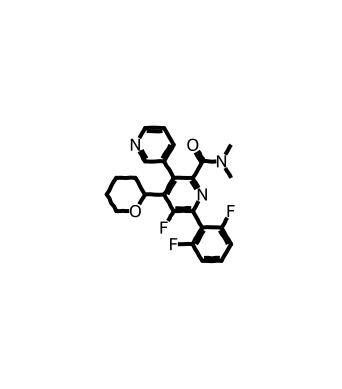 CN(C)C(=O)c1nc(-c2c(F)cccc2F)c(F)c(C2CCCCO2)c1-c1cccnc1